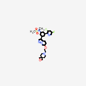 CN(c1cc(-c2ncc(F)cc2F)cc(-c2cnn3cc(OCCN4CCC5(CC4)COC5)ccc23)c1)S(C)(=O)=O